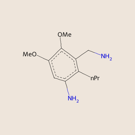 CCCc1c(N)cc(OC)c(OC)c1CN